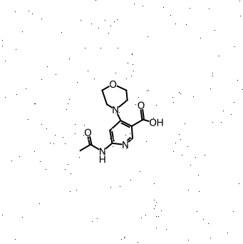 CC(=O)Nc1cc(N2CCOCC2)c(C(=O)O)cn1